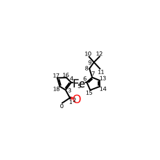 CC(=O)C1=[C]([Fe][C]2=C(CC(C)(C)C)C=CC2)CC=C1